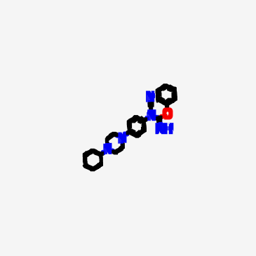 N#CN(C(=N)Oc1ccccc1)c1ccc(N2CCN(C3CCCCC3)CC2)cc1